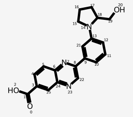 O=C(O)c1ccc2nc(-c3cccc(N4CCCC4CO)c3)cnc2c1